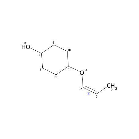 C/C=C\OC1CCC(O)CC1